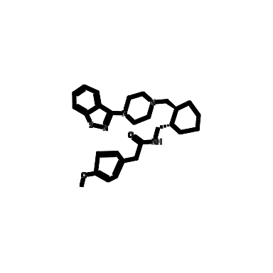 COc1ccc(CC(=O)NC[C@H]2CCCC[C@@H]2CN2CCN(c3nsc4ccccc34)CC2)cc1